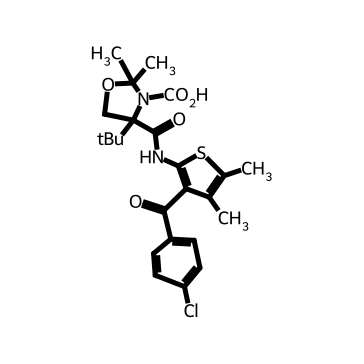 Cc1sc(NC(=O)C2(C(C)(C)C)COC(C)(C)N2C(=O)O)c(C(=O)c2ccc(Cl)cc2)c1C